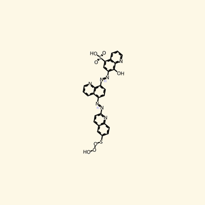 O=S(=O)(O)c1cc(/N=N/c2ccc(/N=N/c3ccc4cc(SOOO)ccc4n3)c3cccnc23)c(O)c2ncccc12